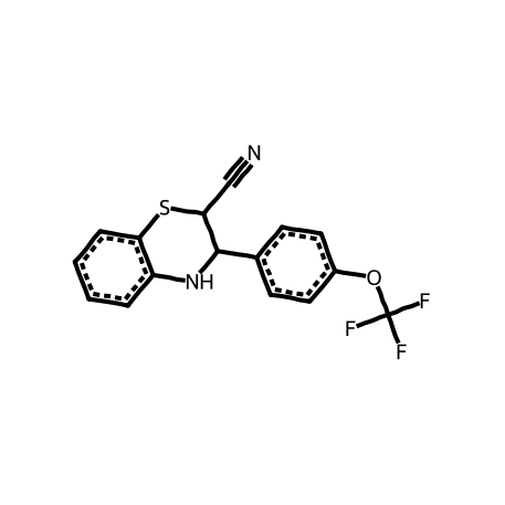 N#CC1Sc2ccccc2NC1c1ccc(OC(F)(F)F)cc1